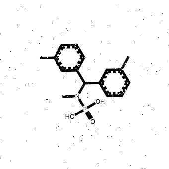 Cc1cccc(C(c2cccc(C)c2)N(C)P(=O)(O)O)c1